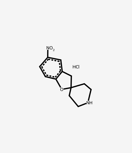 Cl.O=[N+]([O-])c1ccc2c(c1)CC1(CCNCC1)O2